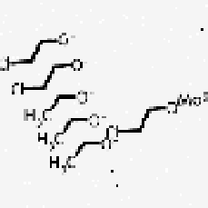 CC[O-].CC[O-].CC[O-].[Mo+6].[O-]CCCl.[O-]CCCl.[O-]CCCl